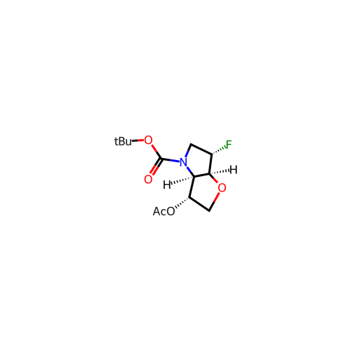 CC(=O)O[C@H]1CO[C@H]2[C@@H]1N(C(=O)OC(C)(C)C)C[C@@H]2F